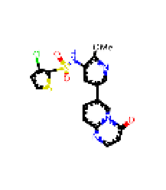 COc1ncc(-c2ccc3nccc(=O)n3c2)cc1NS(=O)(=O)c1sccc1Cl